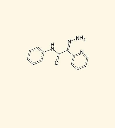 NN=C(C(=O)Nc1ccccc1)c1ccccn1